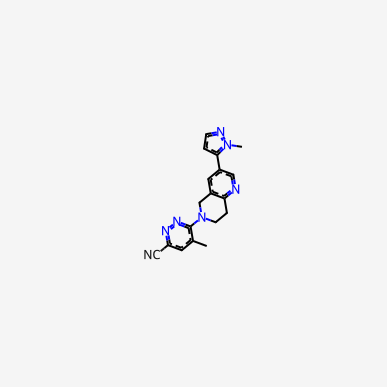 Cc1cc(C#N)nnc1N1CCc2ncc(-c3ccnn3C)cc2C1